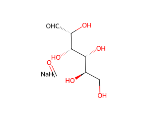 C=O.O=C[C@H](O)[C@@H](O)[C@H](O)[C@H](O)CO.[NaH]